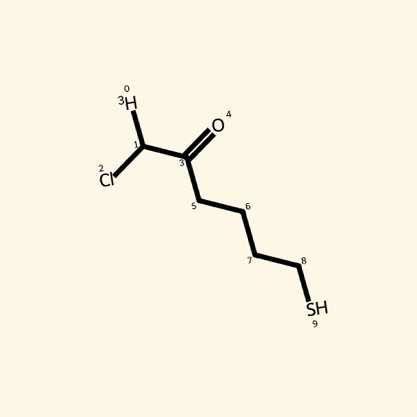 [3H]C(Cl)C(=O)CCCCS